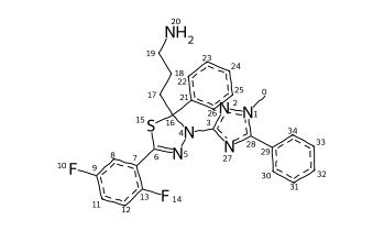 Cn1nc(N2N=C(c3cc(F)ccc3F)SC2(CCCN)c2ccccc2)nc1-c1ccccc1